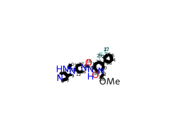 C=C1Nc2cnccc2CN1C1CCN(C(=O)N[C@@H]2CC[C@@H](c3cccc(F)c3F)CN(CCOC)C2=O)CC1